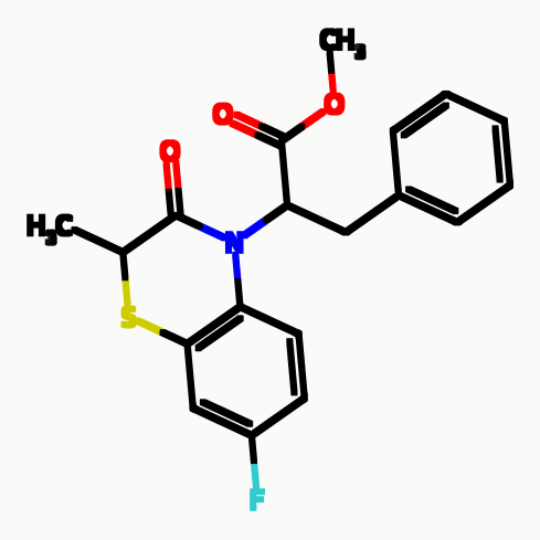 COC(=O)C(Cc1ccccc1)N1C(=O)C(C)Sc2cc(F)ccc21